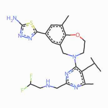 Cc1cc(-c2nnc(N)s2)cc2c1OCCN(c1nc(CNCC(F)F)nc(C)c1C(C)C)C2